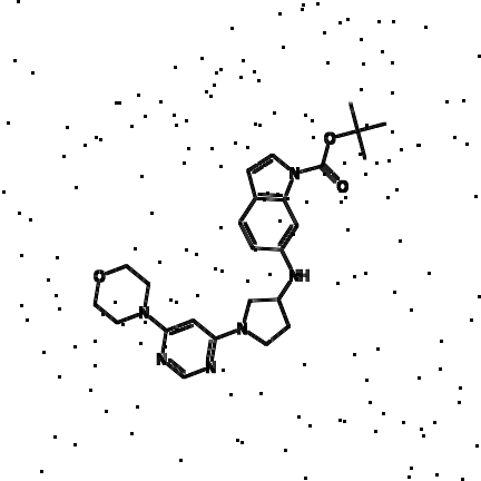 CC(C)(C)OC(=O)n1ccc2ccc(NC3CCN(c4cc(N5CCOCC5)ncn4)C3)cc21